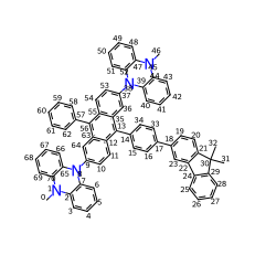 CN1c2ccccc2N(c2ccc3c(-c4ccc(-c5ccc6c(c5)-c5ccccc5C6(C)C)cc4)c4cc(N5c6ccccc6N(C)c6ccccc65)ccc4c(-c4ccccc4)c3c2)c2ccccc21